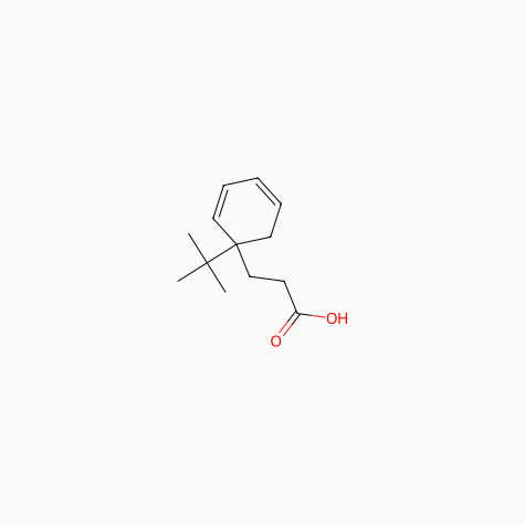 CC(C)(C)C1(CCC(=O)O)C=CC=CC1